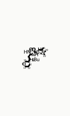 CC(COC(=O)NC(C[C@@H]([C@@H]1CCCOC1)C(C)(C)C)NC(=O)O)[Si](C)(C)C